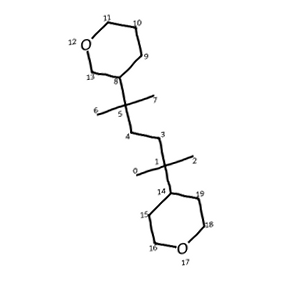 CC(C)(CCC(C)(C)C1CCCOC1)C1CCOCC1